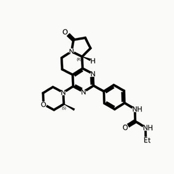 CCNC(=O)Nc1ccc(-c2nc3c(c(N4CCOC[C@@H]4C)n2)CCN2C(=O)CC[C@H]32)cc1